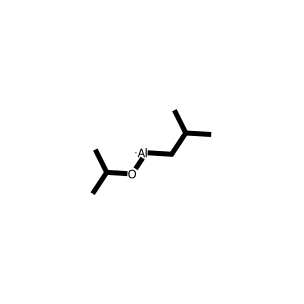 CC(C)[CH2][Al][O]C(C)C